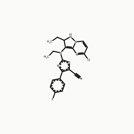 CCC1NN2C=CC(Cl)=NC2=C1N(CC)c1nc(-c2ccc(F)cc2)c(C#N)s1